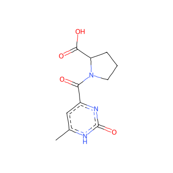 Cc1cc(C(=O)N2CCCC2C(=O)O)nc(=O)[nH]1